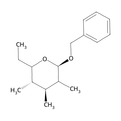 CCC1O[C@@H](OCc2ccccc2)C(C)[C@@H](C)[C@@H]1C